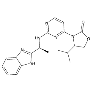 CC(C)C1COC(=O)N1c1ccnc(N[C@@H](C)c2nc3ccccc3[nH]2)n1